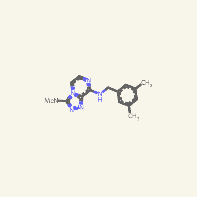 CNc1nnc2c(NCc3cc(C)cc(C)c3)nccn12